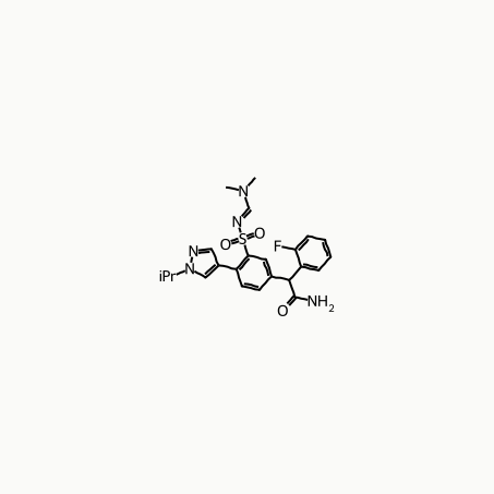 CC(C)n1cc(-c2ccc(C(C(N)=O)c3ccccc3F)cc2S(=O)(=O)N=CN(C)C)cn1